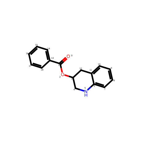 O=C(OC1CNc2ccccc2C1)c1ccccc1